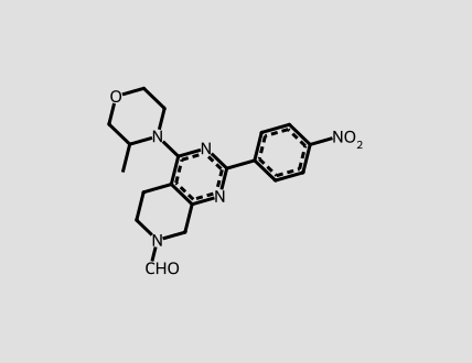 CC1COCCN1c1nc(-c2ccc([N+](=O)[O-])cc2)nc2c1CCN(C=O)C2